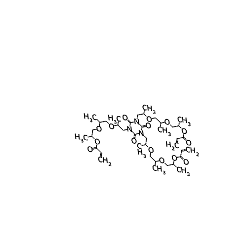 C=CC(=O)OC(C)COC(C)COC(C)Cn1c(=O)n(CC(C)OCC(C)OCC(C)OC(=O)C=C)c(=O)n(CC(C)OCC(C)OCC(C)OC(=O)C=C)c1=O